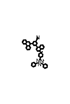 CN1C(c2ccccc2)=NC(c2ccccc2)=NC1C1=CCC(C)(c2ccc(-c3cc(C#N)cc(-c4cc5ccccc5c5ccccc45)c3)c3ccccc23)C=C1